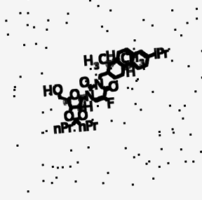 CCCC1(CCC)OC2[C@@H](CO)O[C@@H](n3cc(F)c(=O)n(CC4CC[C@]5(C)[C@H]6CCC(C(C)C)=CC6=CC[C@H]5[C@H]4C)c3=O)[C@H]2O1